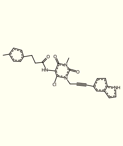 Cc1ccc(CCC(=O)Nc2c(Cl)n(CC#Cc3ccc4[nH]ccc4c3)c(=O)n(C)c2=O)cc1